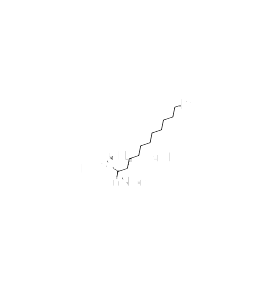 Br.CCCCCCCCCC(CCCCCCCCCCBr)N(C)C